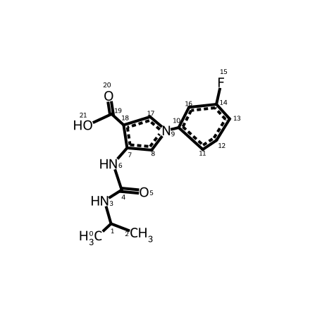 CC(C)NC(=O)Nc1cn(-c2cccc(F)c2)cc1C(=O)O